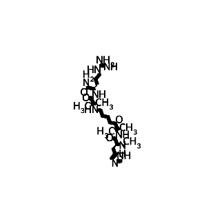 CN[C@@H](Cc1cnc[nH]1)C(=O)NC(C)(C)C(=O)CCCCNC(C)(C)C(=O)N[C@@H](CCCNC(=N)N)C(N)=O